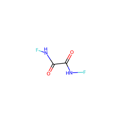 O=C(NF)C(=O)NF